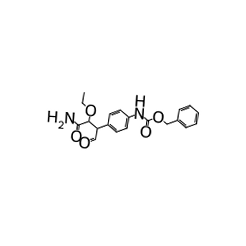 CCOC(C(N)=O)C(C=O)c1ccc(NC(=O)OCc2ccccc2)cc1